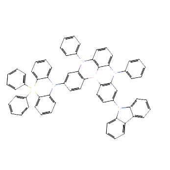 c1ccc(N2c3cc(N4c5ccccc5S(c5ccccc5)(c5ccccc5)c5ccccc54)ccc3B3c4ccc(-n5c6ccccc6c6ccccc65)cc4N(c4ccccc4)c4cccc2c43)cc1